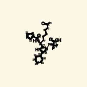 CC(=O)CCCCC[C@H](NC(=O)c1cncs1)c1ncc(-c2ccccc2)[nH]1.O=C(O)C(F)(F)F